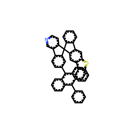 c1ccc(-c2c3ccccc3c(-c3ccc4c(c3)C3(c5ccccc5-c5cc6sc7ccccc7c6cc53)c3ccncc3-4)c3ccccc23)cc1